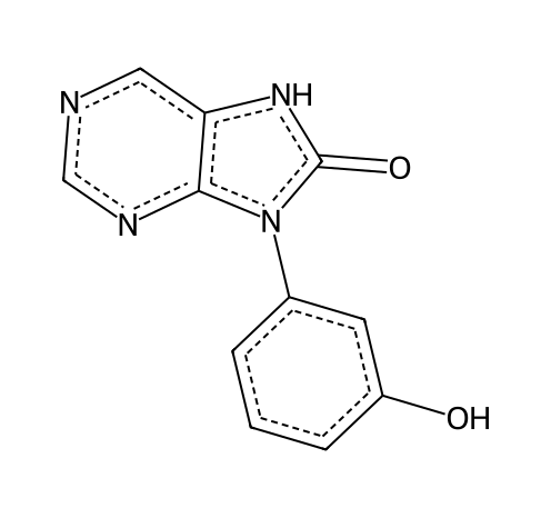 O=c1[nH]c2cncnc2n1-c1cccc(O)c1